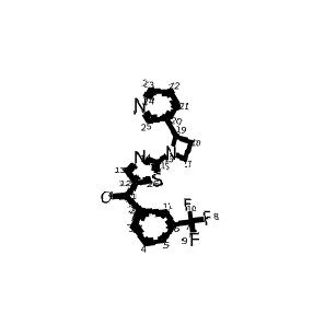 O=C(c1cccc(C(F)(F)F)c1)c1cnc(N2CCC2c2cccnc2)s1